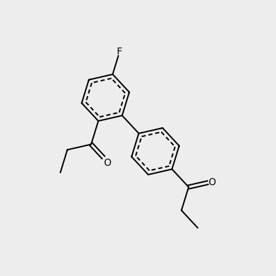 CCC(=O)c1ccc(-c2cc(F)ccc2C(=O)CC)cc1